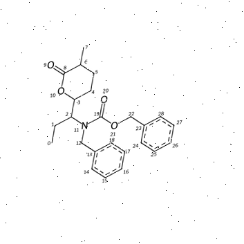 CCC(C1CCC(C)C(=O)O1)N(Cc1ccccc1)C(=O)OCc1ccccc1